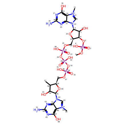 COP(=O)(O)O[C@@H]1C(O)[C@H](n2c[n+](C)c3c(O)nc(N)nc32)O[C@@H]1COP(=O)(O)OP(=O)(O)OP(=O)(O)OC[C@H]1O[C@@H](n2c[n+](C)c3c(O)nc(N)nc32)C(O)C1C